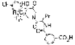 CC(C)[C@@H](NC(=O)c1cccc(C(=O)O)c1)C(=O)N1CC(=O)[C@](O)(c2ccc(Cl)cc2)C(C)(C)C1